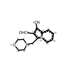 N#Cc1c(C=O)c(CN2CCOCC2)n2ccccc12